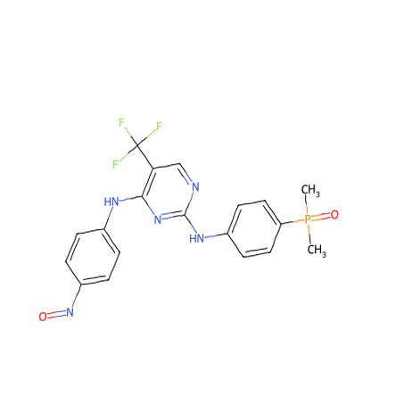 CP(C)(=O)c1ccc(Nc2ncc(C(F)(F)F)c(Nc3ccc(N=O)cc3)n2)cc1